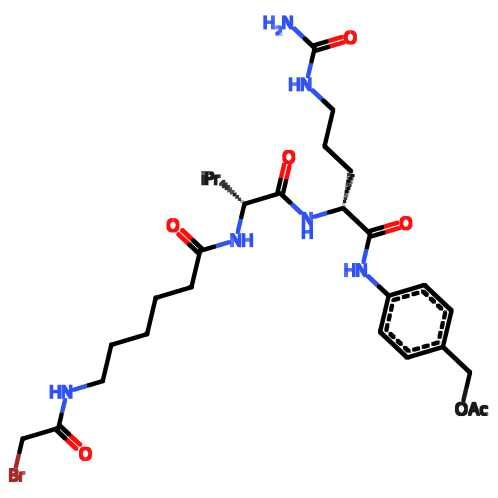 CC(=O)OCc1ccc(NC(=O)[C@@H](CCCNC(N)=O)NC(=O)[C@H](NC(=O)CCCCCNC(=O)CBr)C(C)C)cc1